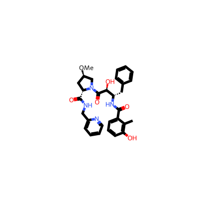 CO[C@@H]1C[C@@H](C(=O)NCc2ccccn2)N(C(=O)[C@@H](O)[C@H](Cc2ccccc2)NC(=O)c2cccc(O)c2C)C1